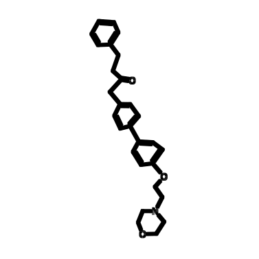 O=C(CCc1ccccc1)Cc1ccc(-c2ccc(OCCN3CCOCC3)cc2)cc1